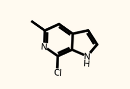 Cc1cc2cc[nH]c2c(Cl)n1